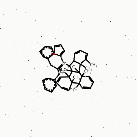 CC1=CC=CC2[CH]([Zr]([C]3=CC=CC3)=[C](Cc3ccccc3)Cc3ccccc3)C3(C)C4(C)C=CC=CC4(C)C4(C)C=CC=CC4(C)C3(C)C12C